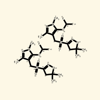 Cn1nc(C(F)(F)F)c(CS(=O)(=O)C2=NOC(C)(C)C2)c1OC(F)F.Cn1nc(C(F)(F)F)c(CS(=O)(=O)C2=NOC(C)(C)C2)c1OC(F)F